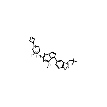 COc1nc(N[C@H]2CCN(C3COC3)C[C@@H]2F)nn2ccc(-c3ccc4nnn(CC(C)(F)F)c4c3)c12